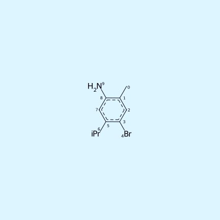 Cc1cc(Br)c(C(C)C)cc1N